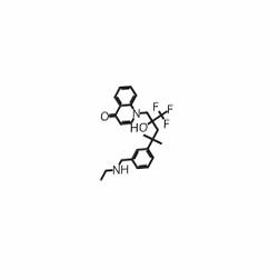 CCNCc1cccc(C(C)(C)CC(O)(Cn2ccc(=O)c3ccccc32)C(F)(F)F)c1